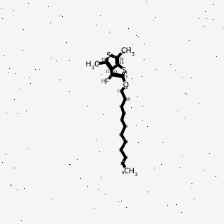 CCCCCCCCCCCCOc1sc2c(C)sc(C)c2c1F